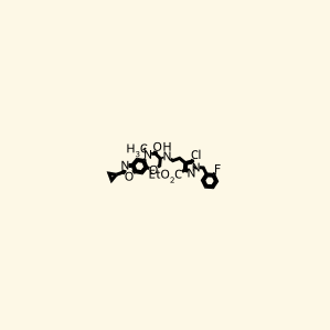 CCOC(=O)c1nn(Cc2ccccc2F)c(Cl)c1CCN[C@H]1COc2cc3oc(C4CC4)nc3cc2N(C)C1=O